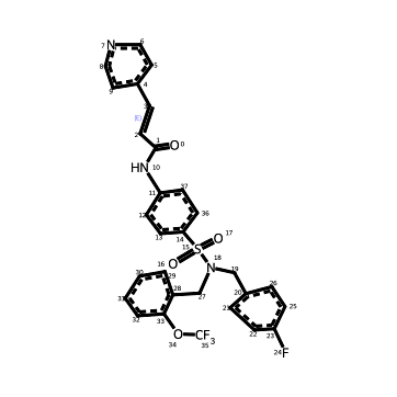 O=C(/C=C/c1ccncc1)Nc1ccc(S(=O)(=O)N(Cc2ccc(F)cc2)Cc2ccccc2OC(F)(F)F)cc1